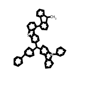 CC1c2ccccc2-c2c(-c3cccc4sc5cc(C(c6ccc(-c7ccccc7)cc6)c6ccc7c(c6)c6ccccc6n7-c6ccccc6)ccc5c34)cccc21